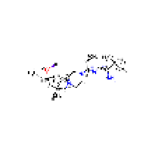 C=C/C(=N\C=C(/N)C(C)(C)C)N1CCN(CC(C)(C)CC(C)(CC)OI)CC1